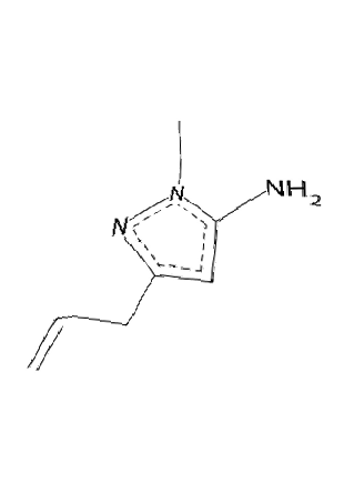 C=CCc1cc(N)n(C)n1